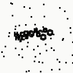 CC(C)(C)Sc1ccc(N=C(C=COc2ccccc2)Oc2ccccc2)cc1